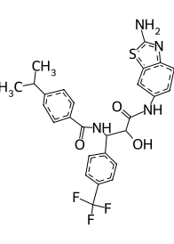 CC(C)c1ccc(C(=O)NC(c2ccc(C(F)(F)F)cc2)C(O)C(=O)Nc2ccc3nc(N)sc3c2)cc1